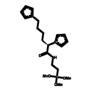 CO[Si](CCNC(=O)[C@H](CCCCn1cccc1)n1cccc1)(OC)OC